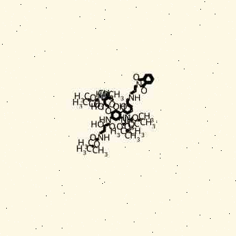 CN(C(=O)OC(C)(C)C)[C@@H]1[C@@H](O)[C@@H](O[C@H]2[C@H](NC(=O)[C@@H](O)CCNC(=O)OC(C)(C)C)C[C@H](NC(=O)OC(C)(C)C)C([C@H]3OC(CNCCCN4C(=O)c5ccccc5C4=O)=CC[C@H]3NC(=O)OC(C)(C)C)[C@@H]2O)OC[C@]1(C)O